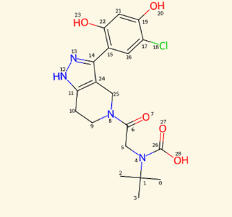 CC(C)(C)N(CC(=O)N1CCc2[nH]nc(-c3cc(Cl)c(O)cc3O)c2C1)C(=O)O